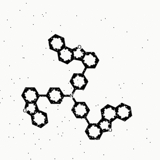 c1ccc2c(c1)ccc1c2oc2cccc(-c3ccc(N(c4ccc(-c5cccc6oc7ccccc7c56)cc4)c4ccc(-c5cccc6oc7c8ccccc8ccc7c56)cc4)cc3)c21